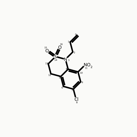 C=CCN1c2c(cc(Cl)cc2[N+](=O)[O-])CCS1(=O)=O